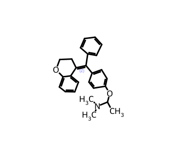 CC(Oc1ccc(/C(=C2/CCOc3ccccc32)c2ccccc2)cc1)N(C)C